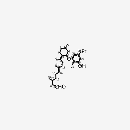 CC(C)=C1CC[C@@H](C)CC1=O.CC(C)=CCCC(C)CC=O.Cc1ccc(C(C)C)cc1O